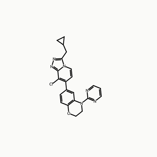 Clc1c(-c2ccc3c(c2)N(c2ncccn2)CCO3)ccn2c(CC3CC3)nnc12